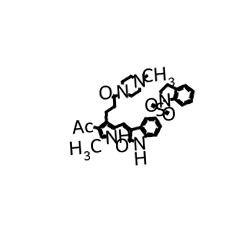 CC(=O)c1c(C)[nH]c(/C=C2\C(=O)Nc3ccc(S(=O)(=O)N4CCc5ccccc54)cc32)c1CCC(=O)N1CCN(C)CC1